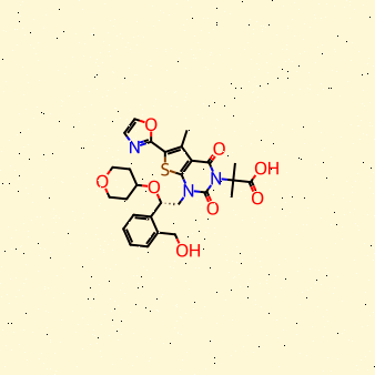 Cc1c(-c2ncco2)sc2c1c(=O)n(C(C)(C)C(=O)O)c(=O)n2C[C@@H](OC1CCOCC1)c1ccccc1CO